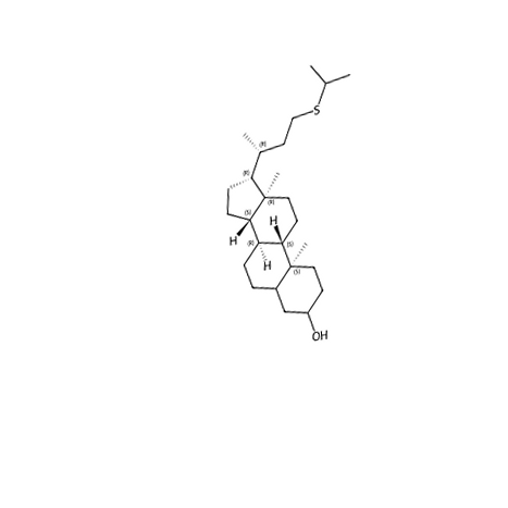 CC(C)SCC[C@@H](C)[C@H]1CC[C@H]2[C@@H]3CCC4CC(O)CC[C@]4(C)[C@H]3CC[C@]12C